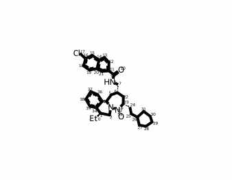 CC[C@H](CN1CC[C@H](CNC(=O)c2ccc3cc(Cl)ccc3c2)C[C@H](CCC2CCCCC2)[N+]1=O)c1ccccc1